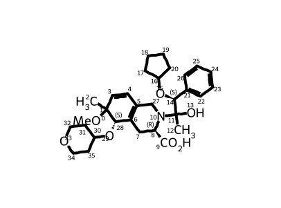 COC1(C)C=CC2=C(C[C@H](C(=O)O)N(C(C)(O)[C@@H](OC3CCCC3)c3ccccc3)C2)[C@@H]1OC1CCOCC1